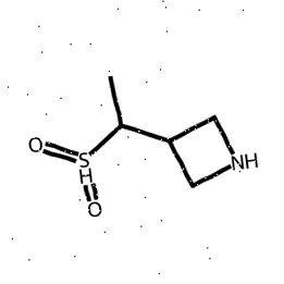 CC(C1CNC1)[SH](=O)=O